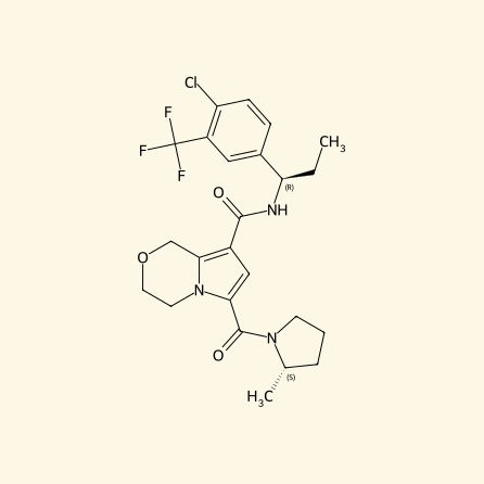 CC[C@@H](NC(=O)c1cc(C(=O)N2CCC[C@@H]2C)n2c1COCC2)c1ccc(Cl)c(C(F)(F)F)c1